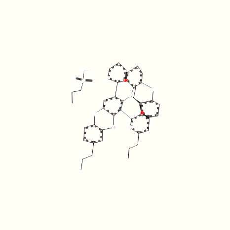 CCCS(=O)(=O)O.CCCc1ccc2c(c1)Nc1c(cc(-c3ccccn3)c(N3c4ccccc4Oc4ccccc43)c1-c1nc(CCC)ccc1CCC)O2